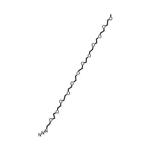 COCCOCCOCCOCCOCCOCCOCCOCCOCCOCCOCCOCCN=[N+]=[N-]